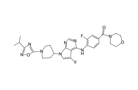 CC(C)c1noc(N2CCC(n3cc(F)c4c(Nc5ccc(C(=O)N6CCOCC6)cc5F)ncnc43)CC2)n1